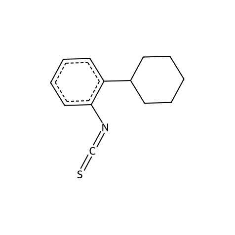 S=C=Nc1ccccc1C1CCCCC1